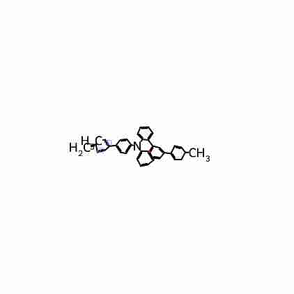 C=C/C=C\C(=C/C)c1ccc(N(c2ccccc2)c2ccccc2-c2cccc(C3=CCC(C)C=C3)c2)cc1